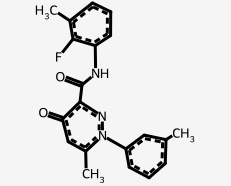 Cc1cccc(-n2nc(C(=O)Nc3cccc(C)c3F)c(=O)cc2C)c1